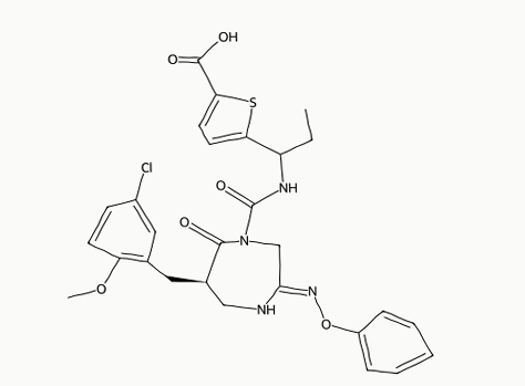 CCC(NC(=O)N1C/C(=N/Oc2ccccc2)NC[C@@H](Cc2cc(Cl)ccc2OC)C1=O)c1ccc(C(=O)O)s1